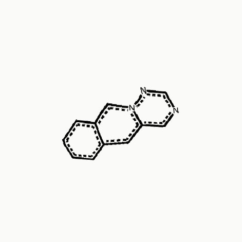 c1ccc2c[n+]3ncncc3cc2c1